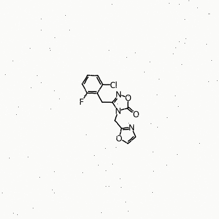 O=c1onc(Cc2c(F)cccc2Cl)n1Cc1ncco1